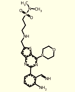 CN(C)S(=O)(=O)CCCNCc1cc2nc(-c3cccc(N)c3C=N)nc(N3CCOCC3)c2s1